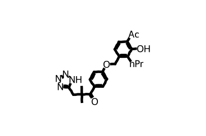 CCCc1c(COc2ccc(C(=O)C(C)(C)Cc3nnn[nH]3)cc2)ccc(C(C)=O)c1O